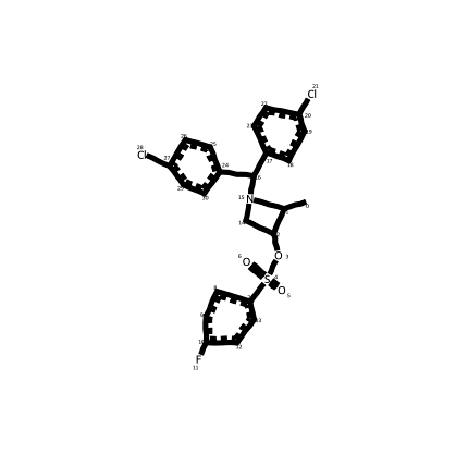 CC1C(OS(=O)(=O)c2ccc(F)cc2)CN1C(c1ccc(Cl)cc1)c1ccc(Cl)cc1